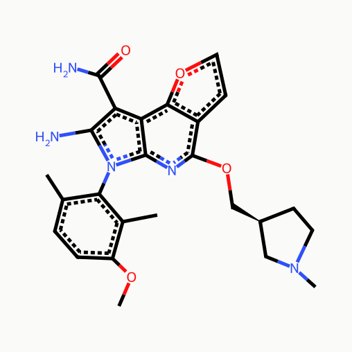 COc1ccc(C)c(-n2c(N)c(C(N)=O)c3c4occc4c(OC[C@H]4CCN(C)C4)nc32)c1C